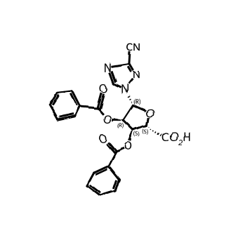 N#Cc1ncn([C@@H]2O[C@H](C(=O)O)[C@@H](OC(=O)c3ccccc3)[C@H]2OC(=O)c2ccccc2)n1